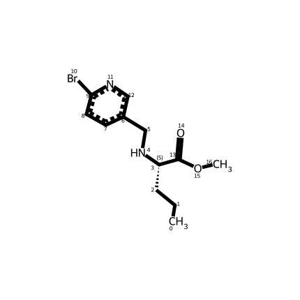 CCC[C@H](NCc1ccc(Br)nc1)C(=O)OC